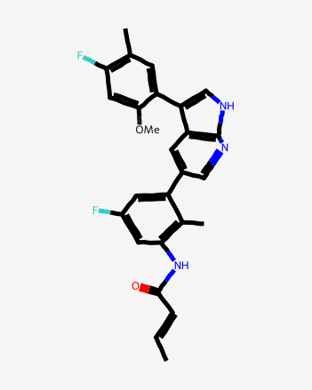 C/C=C/C(=O)Nc1cc(F)cc(-c2cnc3[nH]cc(-c4cc(C)c(F)cc4OC)c3c2)c1C